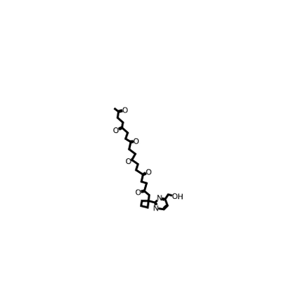 CC(=O)CCC(=O)CCC(=O)CCC(=O)CCC(=O)CCC(=O)CC1(c2nccc(CO)n2)CCC1